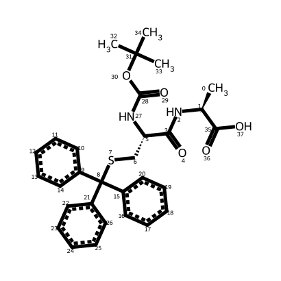 C[C@H](NC(=O)[C@H](CSC(c1ccccc1)(c1ccccc1)c1ccccc1)NC(=O)OC(C)(C)C)C(=O)O